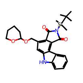 CC(C)(C)[Si](C)(C)N1C(=O)c2c(COC3CCCCO3)cc3[nH]c4ccccc4c3c2C1=O